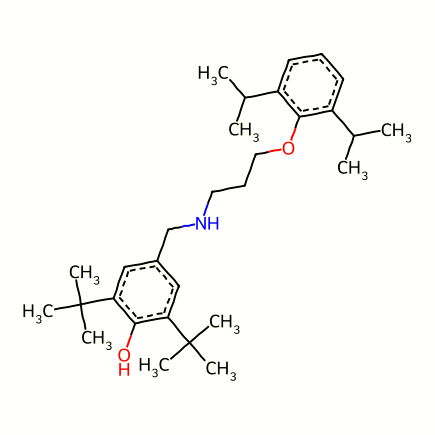 CC(C)c1cccc(C(C)C)c1OCCCNCc1cc(C(C)(C)C)c(O)c(C(C)(C)C)c1